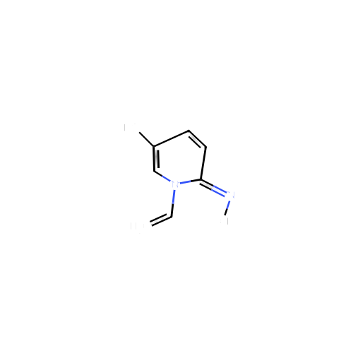 C=Cn1cc(C)cc/c1=N/C